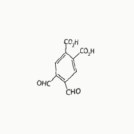 O=Cc1cc(C(=O)O)c(C(=O)O)cc1C=O